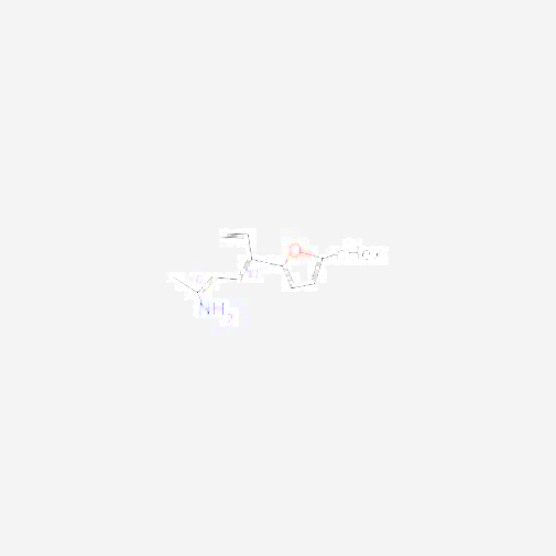 C=C/C(=C\C=C(\C)N)c1ccc(CCCCCC)o1